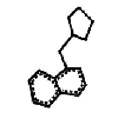 c1ccc2c(CC3CCCC3)cccc2c1